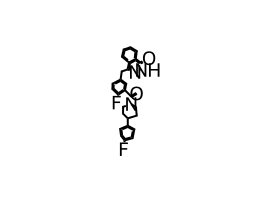 O=C(c1cc(Cc2n[nH]c(=O)c3ccccc23)ccc1F)N1CCC(c2ccc(F)cc2)CC1